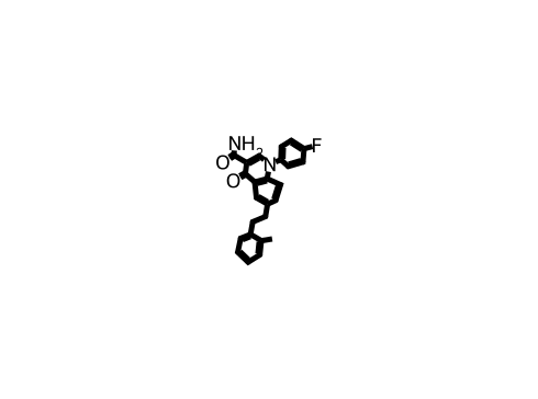 Cc1ccccc1CCc1ccc2c(c1)c(=O)c(C(N)=O)cn2-c1ccc(F)cc1